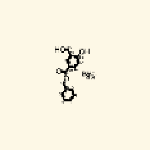 O=C(OCc1ccccc1)c1ccc(O)c(CO)c1.[BH4-].[Na+]